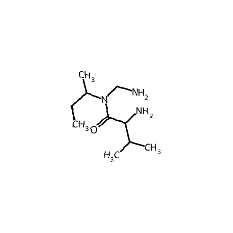 CCC(C)N(CN)C(=O)C(N)C(C)C